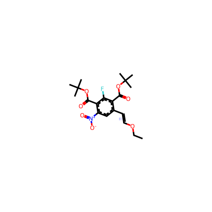 CCO/C=C/c1cc([N+](=O)[O-])c(C(=O)OC(C)(C)C)c(F)c1C(=O)OC(C)(C)C